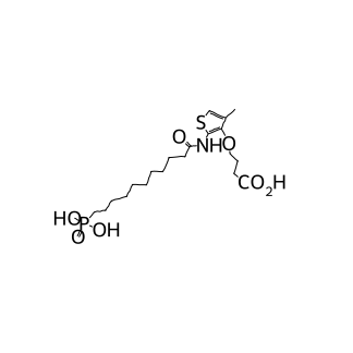 Cc1csc(NC(=O)CCCCCCCCCCP(=O)(O)O)c1OCCCC(=O)O